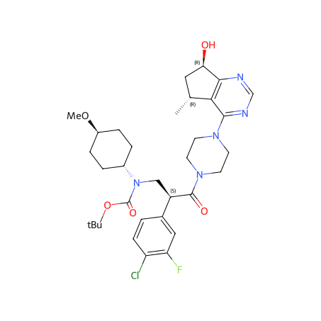 CO[C@H]1CC[C@H](N(C[C@@H](C(=O)N2CCN(c3ncnc4c3[C@H](C)C[C@H]4O)CC2)c2ccc(Cl)c(F)c2)C(=O)OC(C)(C)C)CC1